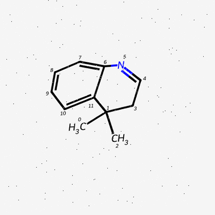 CC1(C)CC=Nc2ccccc21